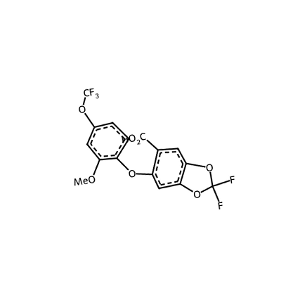 COc1cc(OC(F)(F)F)ccc1Oc1cc2c(cc1C(=O)O)OC(F)(F)O2